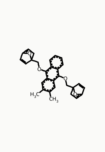 Cc1cc2c(OCC34C=CC(=CC3)O4)c3ccccc3c(OCC34C=CC(=CC3)O4)c2cc1C